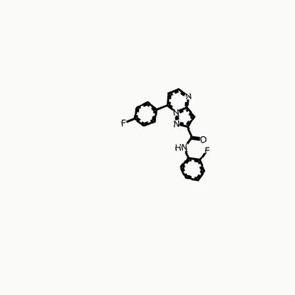 O=C(Nc1ccccc1F)c1cc2nccc(-c3ccc(F)cc3)n2n1